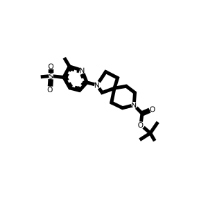 Cc1nc(N2CCC3(CCN(C(=O)OC(C)(C)C)CC3)C2)ccc1S(C)(=O)=O